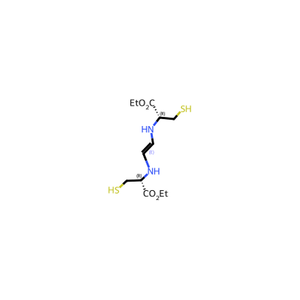 CCOC(=O)[C@H](CS)N/C=C/N[C@@H](CS)C(=O)OCC